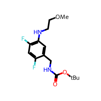 COCCNc1cc(CNC(=O)OC(C)(C)C)c(F)cc1F